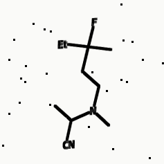 CCC(C)(F)CCN(C)C(C)C#N